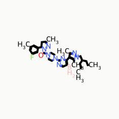 Bc1cnc(N2CCN(C(=O)N3N=C(C)CC3c3cc(C)cc(F)c3)CC2)nc1-c1c(C)nn(CC(CCC)CCC)c1C